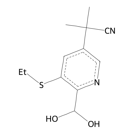 CCSc1cc(C(C)(C)C#N)cnc1C(O)O